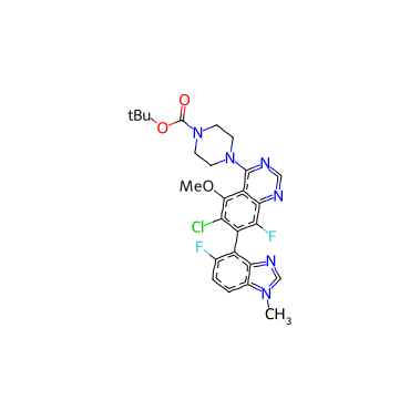 COc1c(Cl)c(-c2c(F)ccc3c2ncn3C)c(F)c2ncnc(N3CCN(C(=O)OC(C)(C)C)CC3)c12